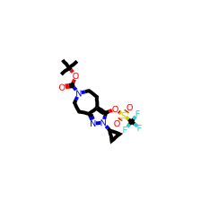 CC(C)(C)OC(=O)N1CCc2nn(C3CC3)c(OS(=O)(=O)C(F)(F)F)c2CC1